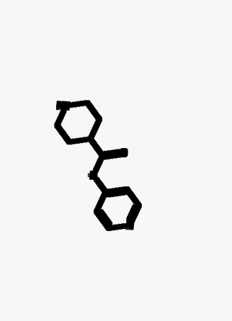 O=C([N]c1ccncc1)C1CCNCC1